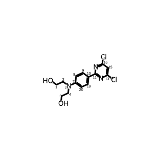 OCCN(CCO)c1ccc(-c2nc(Cl)cc(Cl)n2)cc1